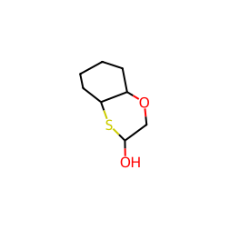 OC1COC2CCCCC2S1